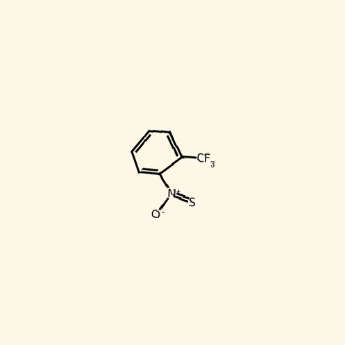 [O-][N+](=S)c1ccccc1C(F)(F)F